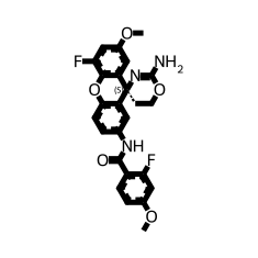 COc1ccc(C(=O)Nc2ccc3c(c2)[C@@]2(CCOC(N)=N2)c2cc(OC)cc(F)c2O3)c(F)c1